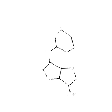 OC1COC2C(OC3CCCCO3)COC12